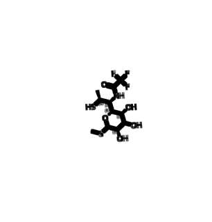 CSC1O[C@H]([C@H](NC(=O)C(F)(F)F)[C@H](C)S)[C@@H](O)C(O)[C@H]1O